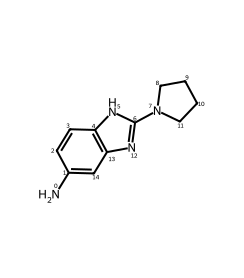 Nc1ccc2[nH]c(N3CCCC3)nc2c1